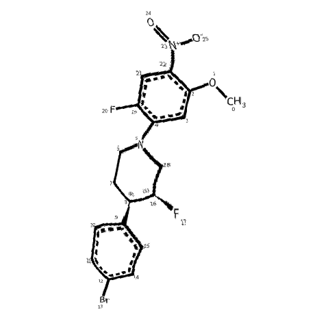 COc1cc(N2CC[C@H](c3ccc(Br)cc3)[C@H](F)C2)c(F)cc1[N+](=O)[O-]